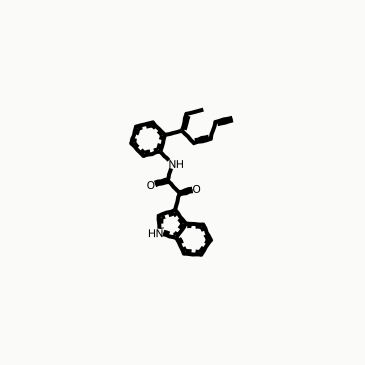 C=C/C=C\C(=C/C)c1ccccc1NC(=O)C(=O)c1c[nH]c2ccccc12